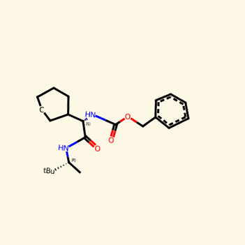 C[C@@H](NC(=O)[C@@H](NC(=O)OCc1ccccc1)C1CCCCC1)C(C)(C)C